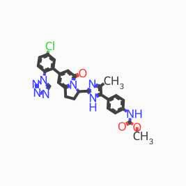 COC(=O)Nc1ccc(-c2[nH]c(C3CCc4cc(-c5cc(Cl)ccc5-n5cnnn5)cc(=O)n43)nc2C)cc1